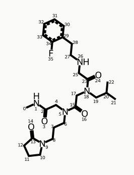 CNC(=O)CN(CCCN1CCCC1=O)C(=O)CN(CC(C)C)C(=O)CNCCc1ccccc1F